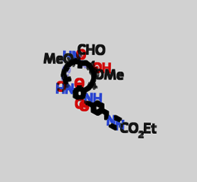 CCOC(=O)N1CCN(CCc2ccc(C(=O)NC3=C4C[C@@H](C)C[C@H](OC)[C@H](O)[C@@H](C)/C=C(\C)[C@H](NOC=O)[C@@H](OC)/C=C\C=C(/C)C(=O)NC(=CC3=O)C4=O)cc2)CC1